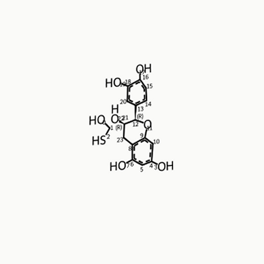 OCS.Oc1cc(O)c2c(c1)O[C@H](c1ccc(O)c(O)c1)[C@H](O)C2